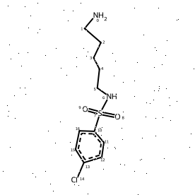 NCCCCCNS(=O)(=O)c1ccc(Cl)cc1